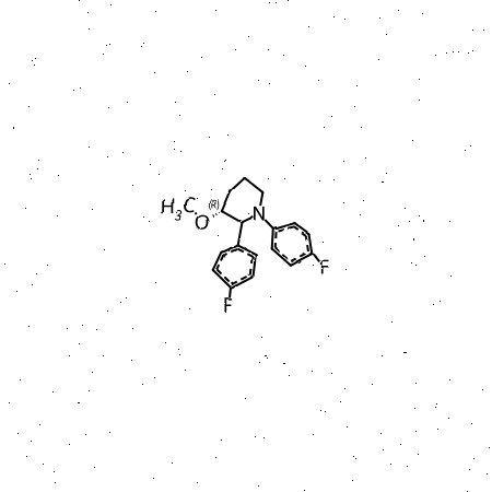 CO[C@@H]1CCCN(c2ccc(F)cc2)C1c1ccc(F)cc1